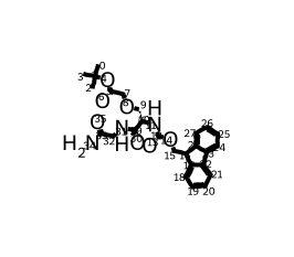 CC(C)(C)OC(=O)COC[C@H](NC(=O)OCC1c2ccccc2-c2ccccc21)C(=O)NCC(N)=O